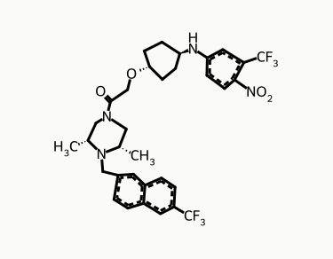 C[C@@H]1CN(C(=O)CO[C@H]2CC[C@H](Nc3ccc([N+](=O)[O-])c(C(F)(F)F)c3)CC2)C[C@H](C)N1Cc1ccc2cc(C(F)(F)F)ccc2c1